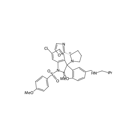 COc1ccc(S(=O)(=O)N2C(=O)C(c3cc(CNCC(C)C)ccc3OC)(N3CCC[C@H]3c3ncco3)c3ccc(Cl)cc32)cc1